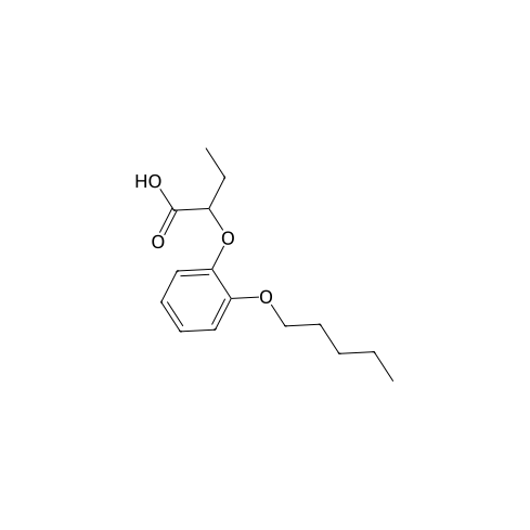 CCCCCOc1ccccc1OC(CC)C(=O)O